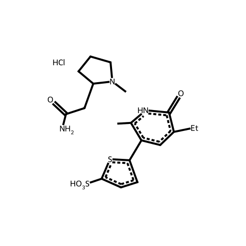 CCc1cc(-c2ccc(S(=O)(=O)O)s2)c(C)[nH]c1=O.CN1CCCC1CC(N)=O.Cl